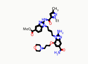 CCn1nc(C)cc1C(=O)Nc1nc2cc(C(=O)OC)ccc2n1C/C=C/Cn1c(N)nc2cc(C(N)=O)cc(OCCCN3CCOCC3)c21